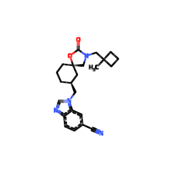 CC1(CN2C[C@@]3(CCC[C@H](Cn4cnc5ccc(C#N)cc54)C3)OC2=O)CCC1